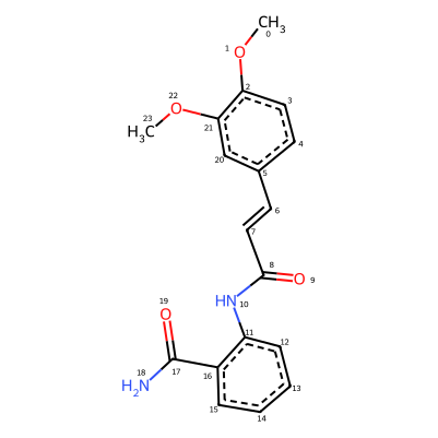 COc1ccc(/C=C/C(=O)Nc2ccccc2C(N)=O)cc1OC